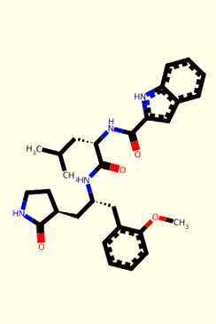 COc1ccccc1C[C@H](C[C@@H]1CCNC1=O)NC(=O)[C@H](CC(C)C)NC(=O)c1cc2ccccc2[nH]1